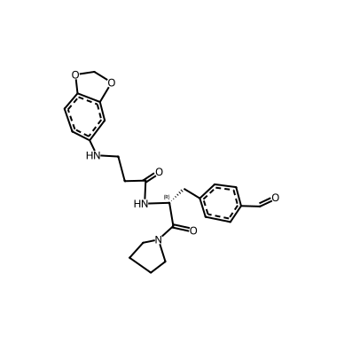 O=Cc1ccc(C[C@@H](NC(=O)CCNc2ccc3c(c2)OCO3)C(=O)N2CCCC2)cc1